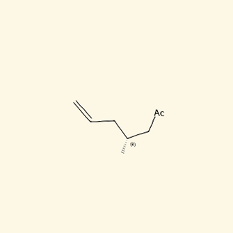 [CH2]C(=O)C[C@H](C)CC=C